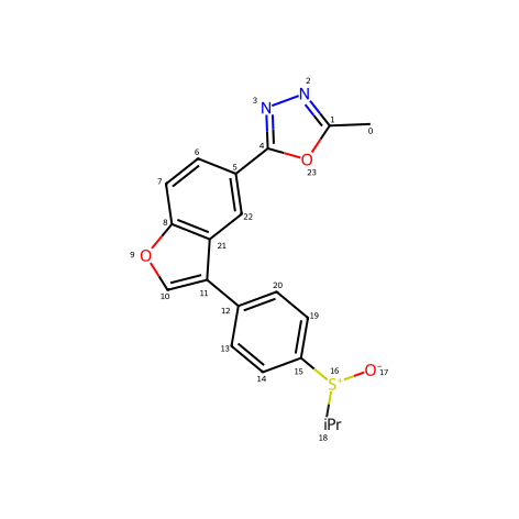 Cc1nnc(-c2ccc3occ(-c4ccc([S+]([O-])C(C)C)cc4)c3c2)o1